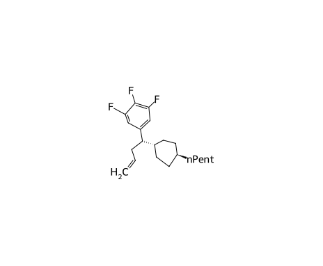 C=CCC(c1cc(F)c(F)c(F)c1)[C@H]1CC[C@H](CCCCC)CC1